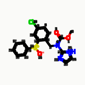 COC(=O)N(Cc1ccc(Cl)cc1[S+]([O-])c1ccccc1)c1ncc[nH]1